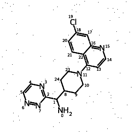 N[C](c1nccnn1)C1CCN(c2ccnc3cc(Cl)ccc23)CC1